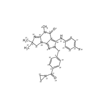 CN1C(=O)c2c(nn(Cc3ccc(C(=O)N4CC4)cc3)c2Nc2ccc(F)cc2)N2CC(C)(C)N=C12